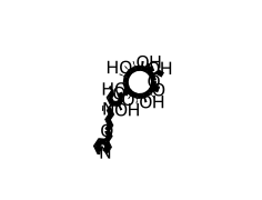 CC[C@H]1OC(=O)[C@H](C)[C@@H](O)[C@H](C)[C@H](OC2O[C@H](C)C[C@H](N(C)CCCOCc3cccnc3)[C@@H]2O)C(C)(O)C[C@H](C)[C@H](O)[C@H](C)[C@@H](O)[C@]1(C)O